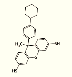 CC1(c2ccc(C3CCCCC3)cc2)c2ccc(S)cc2Sc2cc(S)ccc21